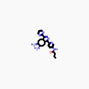 CCCC(=O)Nc1ccc(C2=NN=C(c3ncccn3)C3CCC(N)C(N)CCC23)nc1